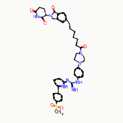 CS(=O)(=O)c1ccc(-c2ccc/c(=N/C(=N)Nc3ccc(N4CCN(C(=O)CCCCCCc5ccc6c(c5)CN(C5CCC(=O)NC5=O)C6=O)CC4)cc3)[nH]2)cc1